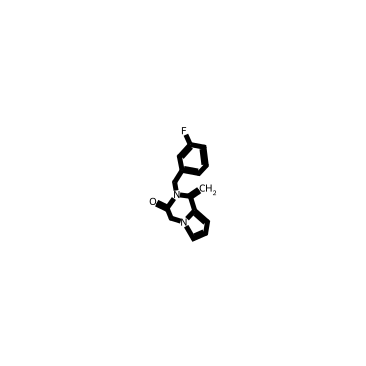 C=C1c2cccn2CC(=O)N1Cc1cccc(F)c1